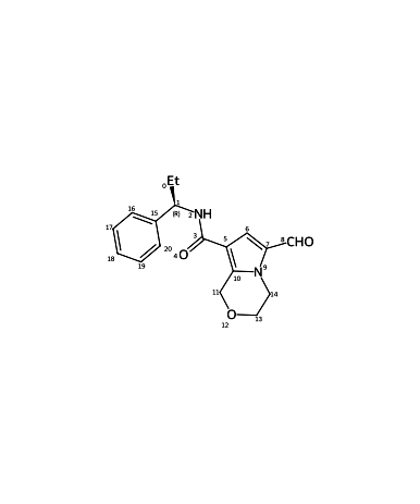 CC[C@@H](NC(=O)c1cc(C=O)n2c1COCC2)c1ccccc1